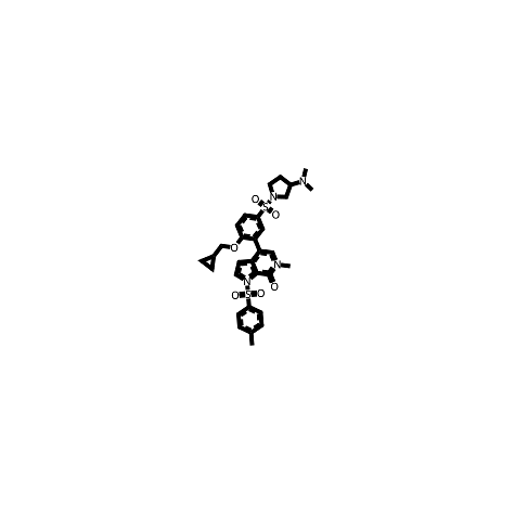 Cc1ccc(S(=O)(=O)n2ccc3c(-c4cc(S(=O)(=O)N5CCC(N(C)C)C5)ccc4OCC4CC4)cn(C)c(=O)c32)cc1